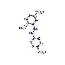 O=S(=O)(O)c1ccc(NNc2cc(S(=O)(=O)O)ccc2S(=O)(=O)O)cc1